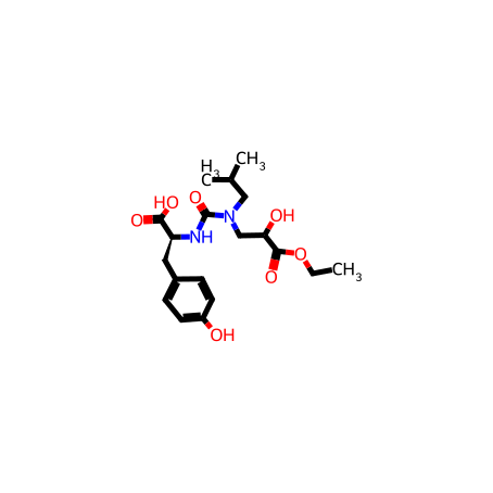 CCOC(=O)C(O)CN(CC(C)C)C(=O)N[C@@H](Cc1ccc(O)cc1)C(=O)O